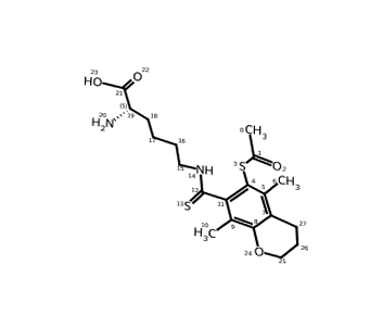 CC(=O)Sc1c(C)c2c(c(C)c1C(=S)NCCCC[C@H](N)C(=O)O)OCCC2